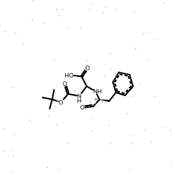 CC(C)(C)OC(=O)NC(N[C@H](C=O)Cc1ccccc1)C(=O)O